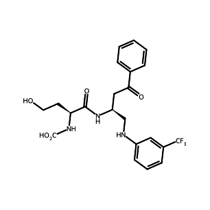 O=C(O)N[C@@H](CCO)C(=O)N[C@H](CNc1cccc(C(F)(F)F)c1)CC(=O)c1ccccc1